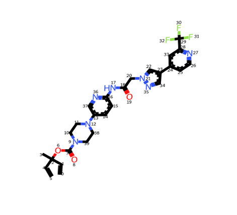 C=CC(C)(C=C)OC(=O)N1CCN(c2ccc(NC(=O)Cn3cc(-c4ccnc(C(F)(F)F)c4)cn3)nc2)CC1